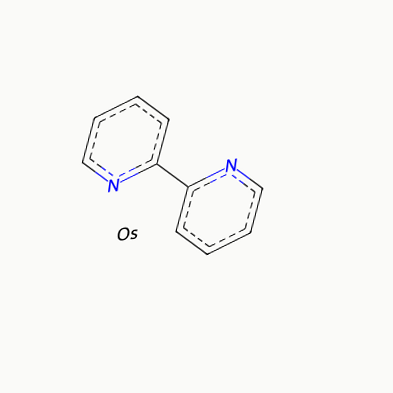 [Os].c1ccc(-c2ccccn2)nc1